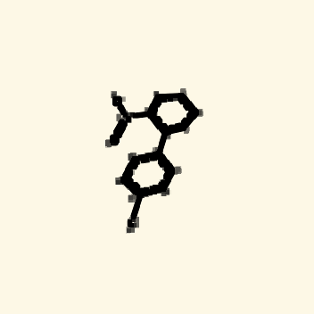 O=[N+]([O-])c1c[c]ccc1-c1ccc(Cl)cc1